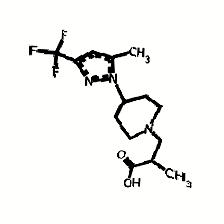 Cc1cc(C(F)(F)F)nn1C1CCN(CC(C)C(=O)O)CC1